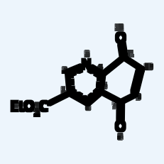 CCOC(=O)c1cnc2c(c1)C(=O)C=CC2=O